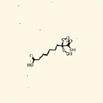 O=C(O)CCCCCCC(OO)(OO)C(=O)O